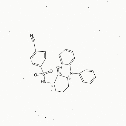 N#Cc1ccc(S(=O)(=O)N[C@H]2CCC[C@@H](N(c3ccccc3)c3ccccc3)[C@@H]2O)cc1